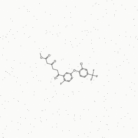 COC(=O)CC(=O)CCC(=O)c1cc(Oc2ccc(C(F)(F)F)cc2Cl)ccc1F